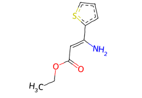 CCOC(=O)C=C(N)c1cccs1